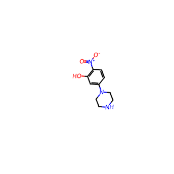 O=[N+]([O-])c1ccc(N2CCNCC2)cc1O